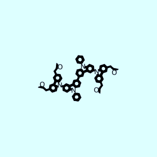 c1ccc(-n2c3ccc(-c4ccc5c(c4)c4cc(-n6c7ccc(CC8CO8)cc7c7cc(CC8CO8)ccc76)ccc4n5-c4ccccc4)cc3c3cc(-n4c5ccc(CC6CO6)cc5c5cc(CC6CO6)ccc54)ccc32)cc1